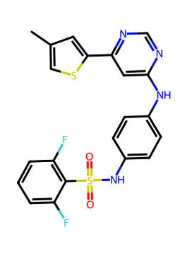 Cc1csc(-c2cc(Nc3ccc(NS(=O)(=O)c4c(F)cccc4F)cc3)ncn2)c1